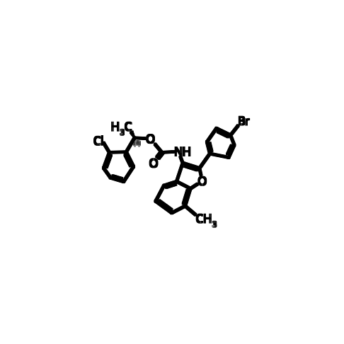 Cc1cccc2c(NC(=O)O[C@H](C)c3ccccc3Cl)c(-c3ccc(Br)cc3)oc12